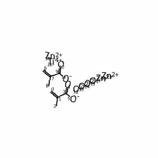 C=C(C)C(=O)[O-].C=C(C)C(=O)[O-].[O-2].[O-2].[O-2].[O-2].[Ti+4].[Zn+2].[Zn+2].[Zn+2]